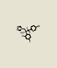 O[C@@](Cn1cnnc1)(c1ccc(F)cc1F)C(F)(F)c1ccc(Br)cn1